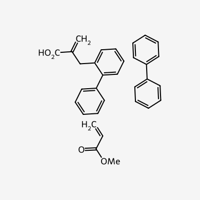 C=C(Cc1ccccc1-c1ccccc1)C(=O)O.C=CC(=O)OC.c1ccc(-c2ccccc2)cc1